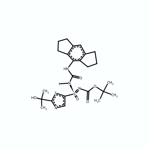 CC(C)(C)OC(=O)N=[S@](=O)(c1cnc(C(C)(C)O)s1)N(I)C(=O)Nc1c2c(cc3c1CCC3)CCC2